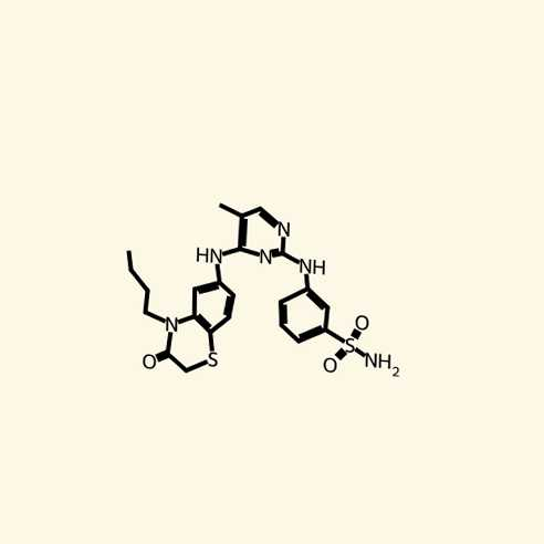 CCCCN1C(=O)CSc2ccc(Nc3nc(Nc4cccc(S(N)(=O)=O)c4)ncc3C)cc21